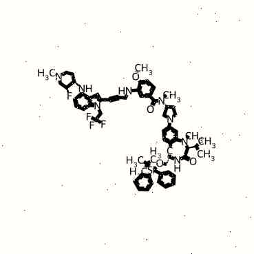 COc1ccc(C(=O)N(C)[C@@H]2CCN(c3ccc4c(c3)N(C)[C@@H](C(C)C)C(=O)N[C@H](CO[Si](c3ccccc3)(c3ccccc3)C(C)(C)C)C4)C2)cc1NCC#Cc1cc2c(N[C@@H]3CCN(C)C[C@@H]3F)cccc2n1CC(F)(F)F